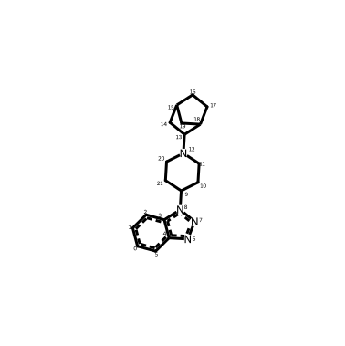 c1ccc2c(c1)nnn2C1CCN(C2CC3CCC2C3)CC1